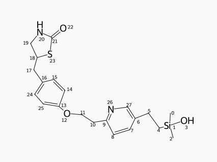 C[Si](C)(O)CCc1ccc(CCOc2ccc(CC3CNC(=O)S3)cc2)nc1